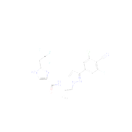 C[C@@H](Cn1ccc(-c2cc(F)c(C#N)c(Cl)c2)n1)NC(=O)c1c[nH]c(CC(F)(F)F)n1